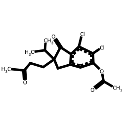 CC(=O)CCC1(C(C)C)Cc2cc(OC(C)=O)c(Cl)c(Cl)c2C1=O